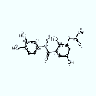 CN(C(=O)c1cc(O)cc(CC(=O)O)c1O)c1ccc(O)c(O)c1